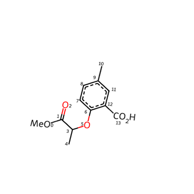 COC(=O)C(C)Oc1ccc(C)cc1C(=O)O